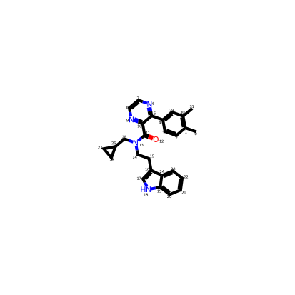 Cc1ccc(-c2nccnc2C(=O)N(CCc2c[nH]c3ccccc23)CC2CC2)cc1C